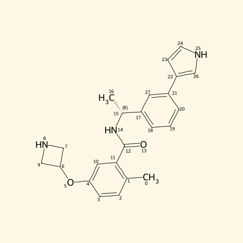 Cc1ccc(OC2CNC2)cc1C(=O)N[C@H](C)c1cccc(-c2cc[nH]c2)c1